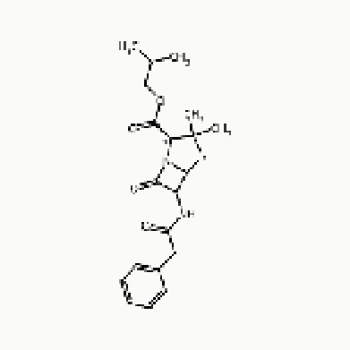 CC(C)COC(=O)[C@@H]1N2C(=O)C(NC(=O)Cc3ccccc3)C2SC1(C)C